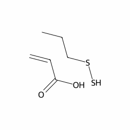 C=CC(=O)O.CCCSS